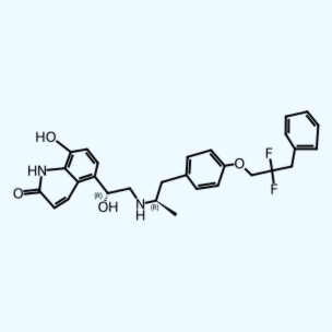 C[C@H](Cc1ccc(OCC(F)(F)Cc2ccccc2)cc1)NC[C@H](O)c1ccc(O)c2[nH]c(=O)ccc12